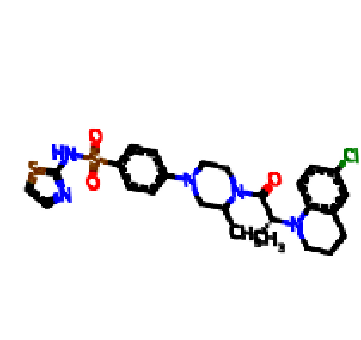 CC1CN(c2ccc(S(=O)(=O)Nc3nccs3)cc2)CCN1C(=O)[C@@H](C)N1CCCc2cc(Cl)ccc21